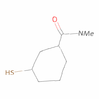 CNC(=O)C1CCCC(S)C1